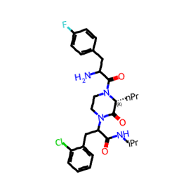 CCC[C@@H]1C(=O)N(C(Cc2ccccc2Cl)C(=O)NC(C)C)CCN1C(=O)C(N)Cc1ccc(F)cc1